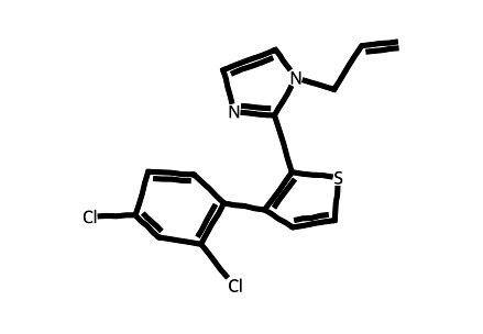 C=CCn1ccnc1-c1sccc1-c1ccc(Cl)cc1Cl